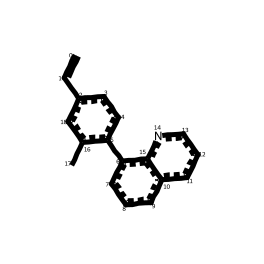 C=Cc1ccc(-c2cccc3cccnc23)c(C)c1